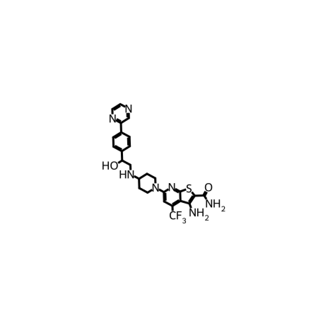 NC(=O)c1sc2nc(N3CCC(NCC(O)c4ccc(-c5cnccn5)cc4)CC3)cc(C(F)(F)F)c2c1N